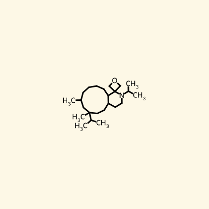 CC1CCCCC2C(CCN(C(C)C)C23COC3)CCC(C)(C(C)C)C1